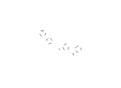 O=C(NCc1ccc(-c2ccccc2)cc1)c1ccc2c(c1)NC(=O)c1ccccc1S2